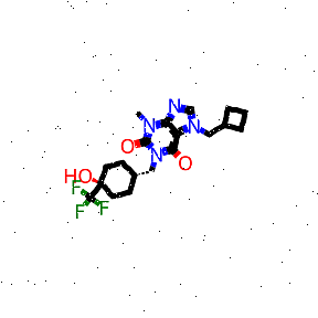 Cn1c(=O)n(C[C@H]2CC[C@@](O)(C(F)(F)F)CC2)c(=O)c2c1ncn2CC1CCC1